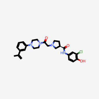 C=C(C)c1cccc(N2CCN(C(=O)CN3CC[C@@H](C(=O)Nc4ccc(O)c(Cl)c4)C3)CC2)c1